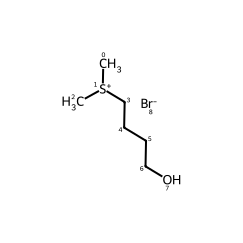 C[S+](C)CCCCO.[Br-]